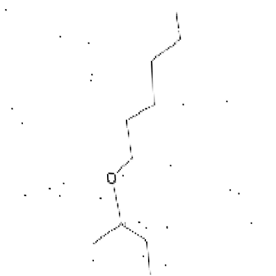 CCCCCCO[C](C)CC